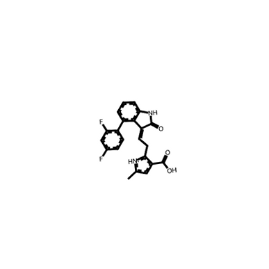 Cc1cc(C(=O)O)c(C/C=C2\C(=O)Nc3cccc(-c4ccc(F)cc4F)c32)[nH]1